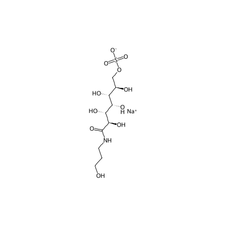 O=C(NCCCO)[C@H](O)[C@H](O)[C@@H](O)[C@H](O)[C@H](O)COS(=O)(=O)[O-].[Na+]